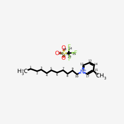 CCCCCCCCCCC[n+]1cccc(C)c1.O=S(=O)([O-])C(F)(F)F